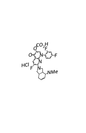 CNC1C=CCC2CN(c3nc4c(cc3F)c(=O)c(OC(=O)O)cn4-c3ccc(F)cc3F)CC21.Cl